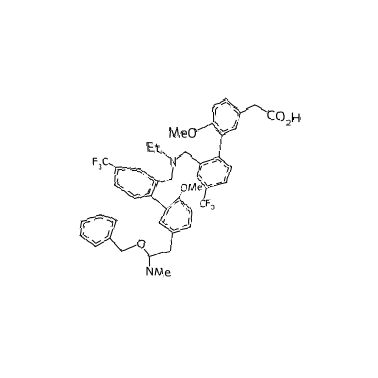 CCN(Cc1cc(C(F)(F)F)ccc1-c1cc(CC(=O)O)ccc1OC)Cc1cc(C(F)(F)F)ccc1-c1cc(CC(NC)OCc2ccccc2)ccc1OC